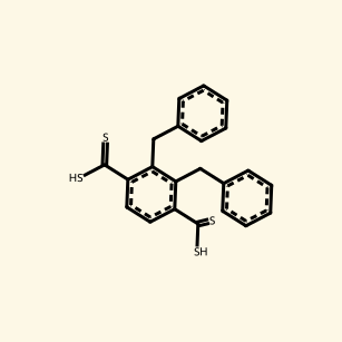 S=C(S)c1ccc(C(=S)S)c(Cc2ccccc2)c1Cc1ccccc1